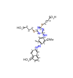 COc1cc(N=Nc2ccc3c(S(=O)(=O)O)cccc3c2)c(C)cc1Nc1nc(SCCCS(=O)(=O)O)nc(SCCCS(=O)(=O)O)n1